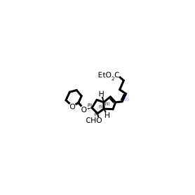 CCOC(=O)CC/C=C\C1=C[C@H]2C[C@@H](OC3CCCCO3)[C@H](C=O)[C@H]2C1